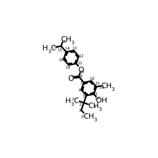 CCC(C)(C)c1cc(C(=O)Oc2ccc(C(C)C)cc2)cc(C)c1O